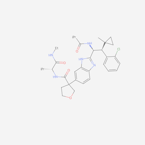 CCNC(=O)[C@H](NC(=O)C1(c2ccc3nc([C@@H](NC(=O)C(C)C)[C@H](c4ccccc4Cl)C4(C)CC4)[nH]c3c2)CCOC1)C(C)C